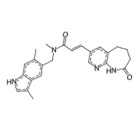 Cc1cc2[nH]cc(C)c2cc1CN(C)C(=O)/C=C/c1cnc2c(c1)CCCC(=O)N2